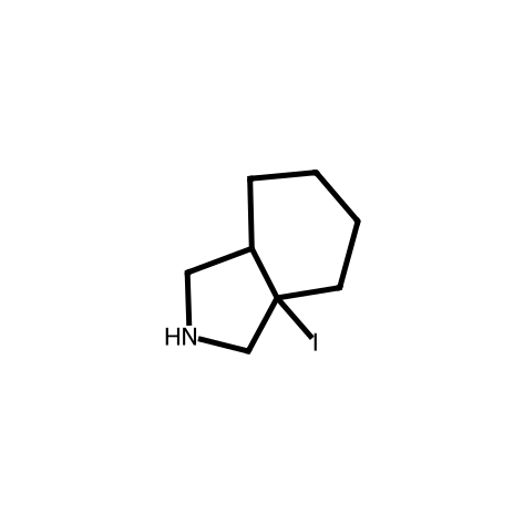 IC12CCCCC1CNC2